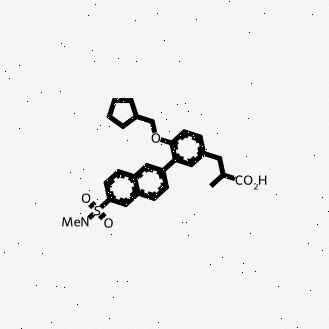 CNS(=O)(=O)c1ccc2cc(-c3cc(CC(C)C(=O)O)ccc3OCC3CCCC3)ccc2c1